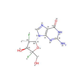 C[C@@]1(F)[C@H](O)C(F)(CO)O[C@H]1n1cnc2c(=O)[nH]c(N)nc21